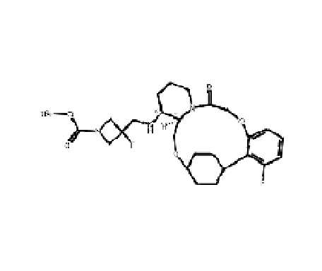 CC(C)(C)OC(=O)N1CC(F)(CN[C@H]2CCCN3C(=O)COc4cccc(F)c4C4CCC(CC4)OC[C@@H]23)C1